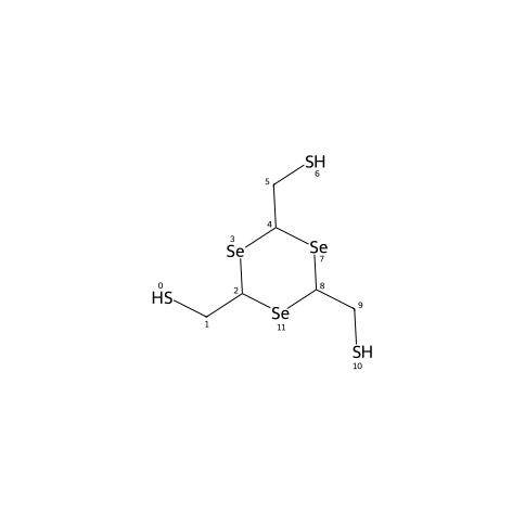 SCC1[Se]C(CS)[Se]C(CS)[Se]1